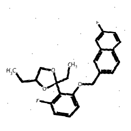 CCC1COC(CC)(c2c(F)cccc2OCc2ccc3ccc(F)cc3c2)O1